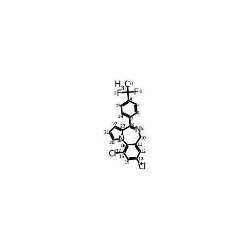 CC(F)(F)c1ccc(C2=NCc3cc(Cl)cc(Cl)c3-n3cccc32)cc1